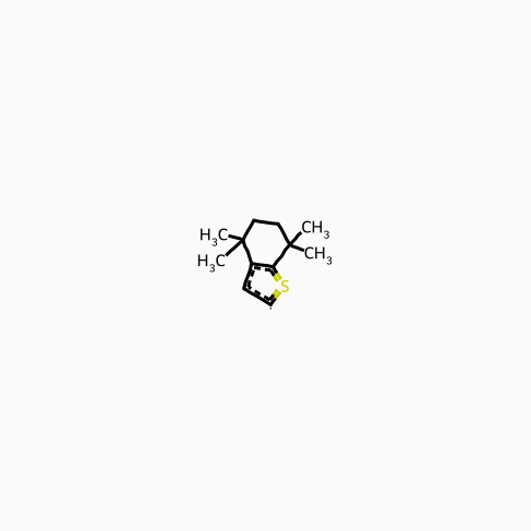 CC1(C)CCC(C)(C)c2s[c]cc21